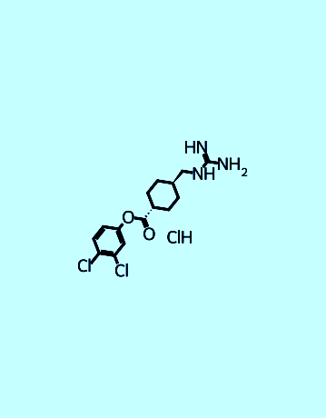 Cl.N=C(N)NC[C@H]1CC[C@H](C(=O)Oc2ccc(Cl)c(Cl)c2)CC1